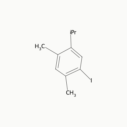 Cc1cc(C)c(C(C)C)cc1I